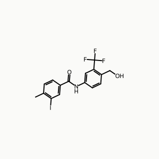 Cc1ccc(C(=O)Nc2ccc(CO)c(C(F)(F)F)c2)cc1I